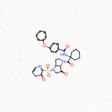 O=C1CC=CN=C1S(=O)(=O)N1CC(=O)C2C1CCN2C(=O)C1(NC(=O)c2ccc(Oc3ccccc3)cc2)CCCCC1